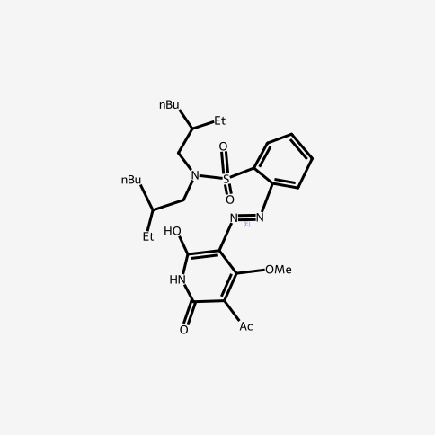 CCCCC(CC)CN(CC(CC)CCCC)S(=O)(=O)c1ccccc1/N=N/c1c(O)[nH]c(=O)c(C(C)=O)c1OC